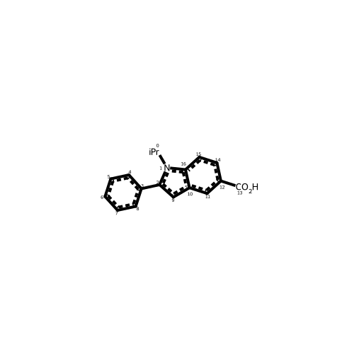 CC(C)n1c(-c2ccccc2)cc2cc(C(=O)O)ccc21